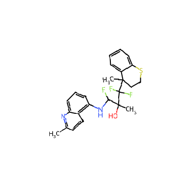 Cc1ccc2c(NC(F)C(C)(O)C(F)(F)C3(C)CCSc4ccccc43)cccc2n1